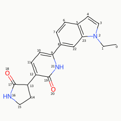 CCn1ccc2ccc(-c3ccc(C4CCNC4=O)c(=O)[nH]3)cc21